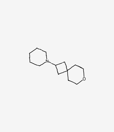 C1CCN(C2CC3(CCOCC3)C2)CC1